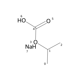 CC(C)OC(=O)O.[NaH]